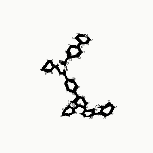 c1ccc(-c2cc(-c3ccc(-c4ccc(-c5cccc6c5oc5ccccc56)c5c4oc4ccccc45)cc3)nc(-c3ccc(-c4ccncc4)cc3)n2)cc1